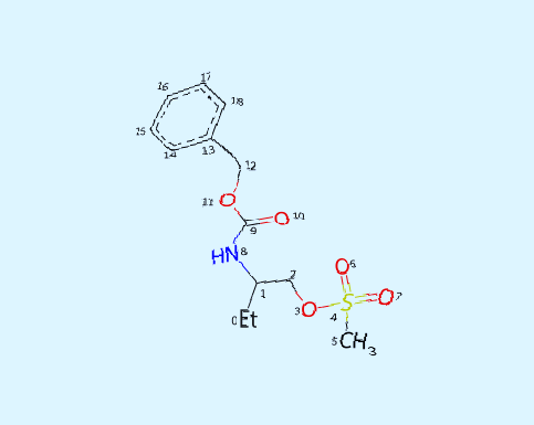 CCC(COS(C)(=O)=O)NC(=O)OCc1ccccc1